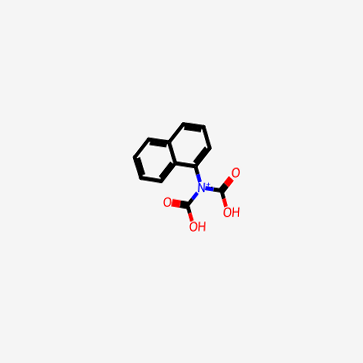 O=C(O)[N+](C(=O)O)c1cccc2ccccc12